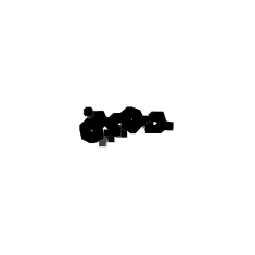 CC1CCN(c2ccc3cc(-c4cn(C)c5ccccc45)c(N)nc3c2)CC1